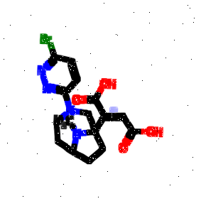 CN1C2CCN(c3ccc(Br)nn3)CC1(/C(=C\C(=O)O)C(=O)O)CC2